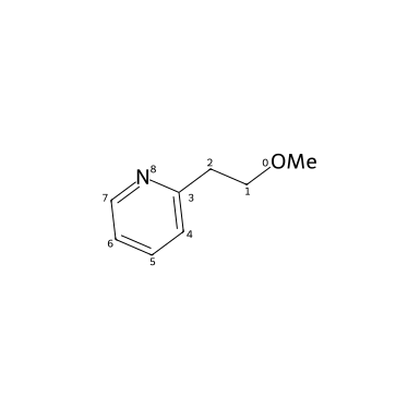 COCCc1ccccn1